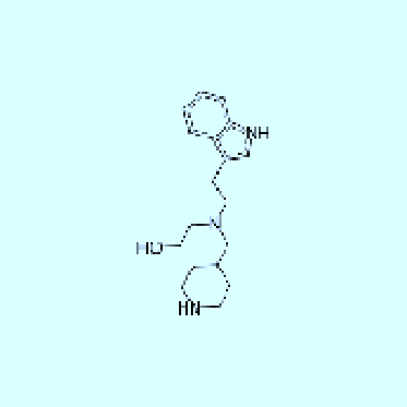 OCCN(CCc1c[nH]c2ccccc12)CC1CCNCC1